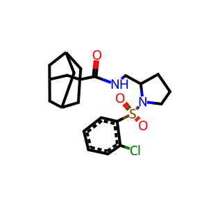 O=C(NCC1CCCN1S(=O)(=O)c1ccccc1Cl)C12CC3CC(CC(C3)C1)C2